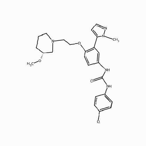 CO[C@@H]1CCCN(CCOc2ccc(NC(=O)Nc3ccc(Cl)cc3)cc2-c2ccnn2C)C1